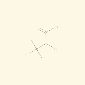 CC(C)(S)C(N)C(=O)O.Cl